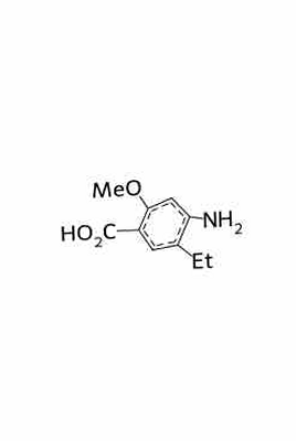 CCc1cc(C(=O)O)c(OC)cc1N